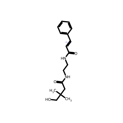 CC(C)(CO)CC(=O)NCCNC(=O)/C=C/c1ccccc1